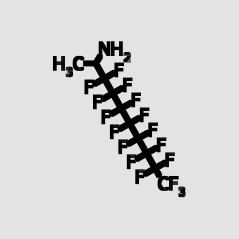 CC(N)C(F)(F)C(F)(F)C(F)(F)C(F)(F)C(F)(F)C(F)(F)C(F)(F)C(F)(F)F